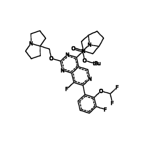 CC(C)(C)OC(=O)N1C2CCC1CN(c1nc(OCC34CCCN3CCC4)nc3c(F)c(-c4cccc(F)c4OC(F)F)ncc13)C2